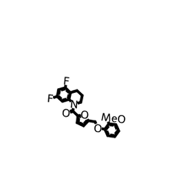 COc1ccccc1OCc1ccc(C(=O)N2CCCc3c(F)cc(F)cc32)o1